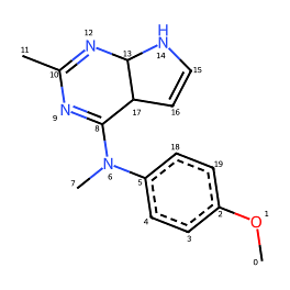 COc1ccc(N(C)C2=NC(C)=NC3NC=CC23)cc1